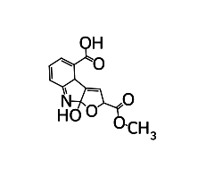 COC(=O)C1C=C2C3C(C(=O)O)=CC=CC3=NC2(O)O1